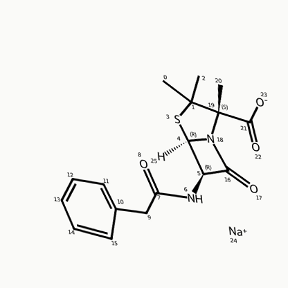 CC1(C)S[C@@H]2[C@H](NC(=O)Cc3ccccc3)C(=O)N2[C@@]1(C)C(=O)[O-].[Na+]